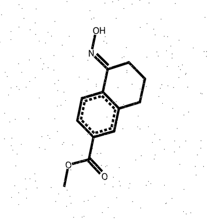 COC(=O)c1ccc2c(c1)CCCC2=NO